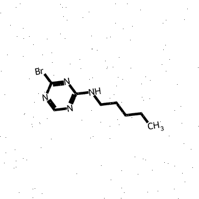 CCCCCNc1ncnc(Br)n1